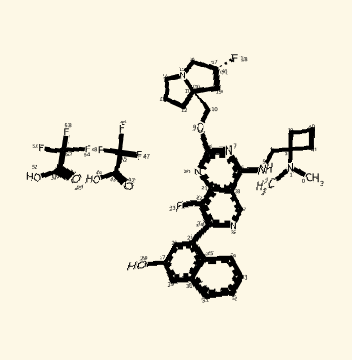 CN(C)C1(CNc2nc(OC[C@@]34CCCN3C[C@H](F)C4)nc3c(F)c(-c4cc(O)cc5ccccc45)ncc23)CCC1.O=C(O)C(F)(F)F.O=C(O)C(F)(F)F